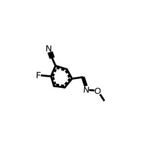 CON=Cc1ccc(F)c(C#N)c1